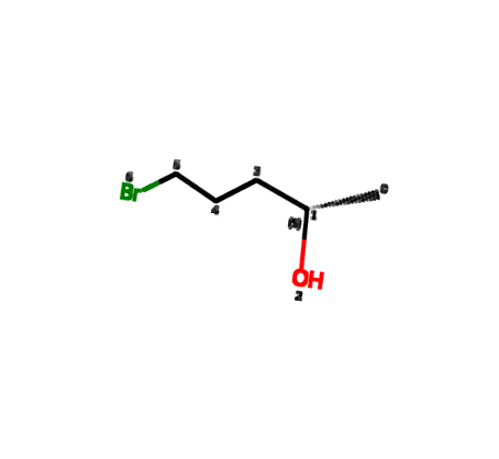 C[C@H](O)CCCBr